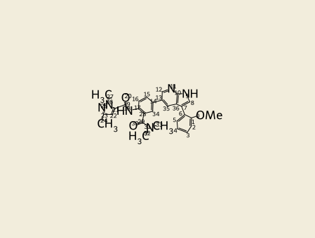 COc1ccccc1-c1c[nH]c2ncc(-c3ccc(NC(=O)c4cc(C)nn4C)c(C(=O)N(C)C)c3)cc12